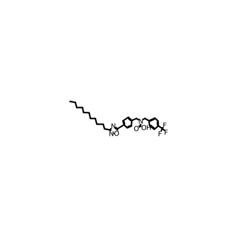 CCCCCCCCCCCc1noc(-c2ccc(CN(Cc3ccc(C(F)(F)F)cc3)C(=O)O)cc2)n1